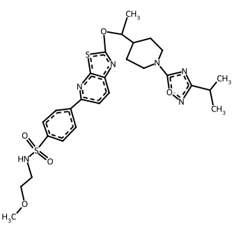 COCCNS(=O)(=O)c1ccc(-c2ccc3nc(OC(C)C4CCN(c5nc(C(C)C)no5)CC4)sc3n2)cc1